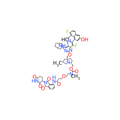 C#Cc1c(F)ccc2cc(O)cc(-c3ncc4c(N5CC6CCC(C5)N6)nc(OC[C@@]56CC[C@@H](COC(=O)N(C)CCOCCC(=O)Nc7cccc8c7C(=O)N(C7CCC(=O)NC7=O)C8=O)N5CC(C)C6)nc4c3F)c12